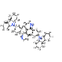 c1cnc(-c2ccc(-n3c4ccccc4c4ccccc43)cc2)c(-c2cccnc2-c2ccc(-n3c4ccccc4c4ccccc43)cc2)c1